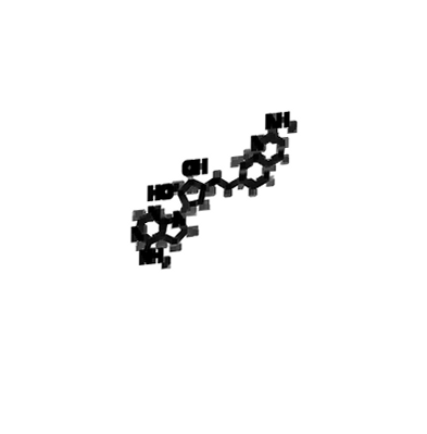 Nc1ccc2ccc(CC[C@H]3CC(N4CCc5c(N)ncnc54)[C@H](O)[C@@H]3O)cc2n1